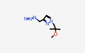 COC(C)(C)Cn1ccc(CN=[N+]=[N-])n1